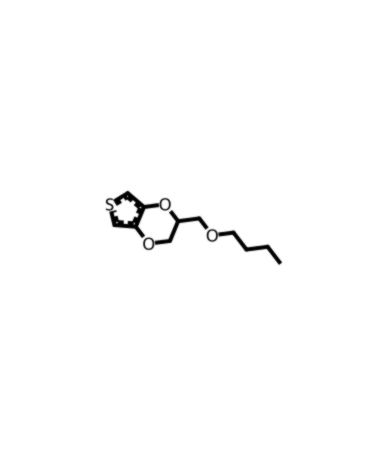 CCCCOCC1COc2cscc2O1